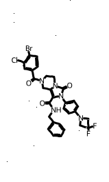 O=C(NCc1ccccc1)c1c2n(c(=O)n1-c1ccc(N3CC(F)(F)C3)cc1)CCN(C(=O)c1ccc(Br)c(Cl)c1)C2